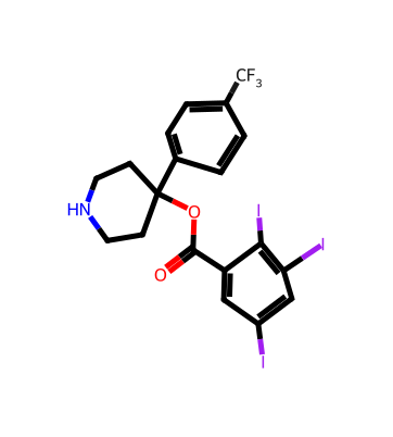 O=C(OC1(c2ccc(C(F)(F)F)cc2)CCNCC1)c1cc(I)cc(I)c1I